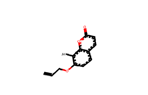 C=CCOc1ccc2ccc(=O)oc2c1C(C)=O